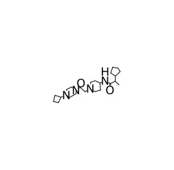 CC(C(=O)NC1CCN(CC(=O)N2CCN(C3CCC3)CC2)CC1)C1CCCC1